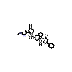 C=C(/C=C\C=C/C)[C@]1(C)CNCCN1C(=O)N1CC[C@@](O)(Cn2cnc(-c3ccccc3)cc2=O)C2(CCCC2)C1